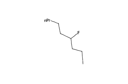 CCCCCC(F)CCI